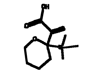 C=C(C(=O)O)C1([Si](C)(C)C)CCCCO1